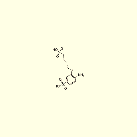 Nc1ccc(S(=O)(=O)O)cc1OCCCCS(=O)(=O)O